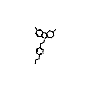 CCOc1ccc(CCn2c3c(c4cc(C)ccc42)CN(C)CC3)cn1